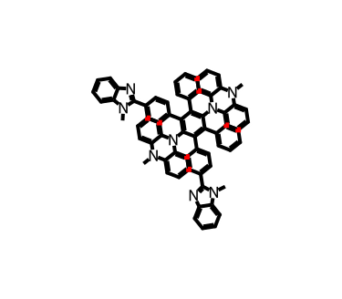 CN1c2ccccc2N(c2c(-c3ccccc3)c(-c3ccc(-c4nc5ccccc5n4C)cc3)c(N3c4ccccc4N(C)c4ccccc43)c(-c3ccc(-c4nc5ccccc5n4C)cc3)c2-c2ccccc2)c2ccccc21